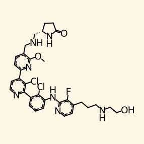 COc1nc(-c2ccnc(-c3cccc(Nc4nccc(CCCNCCO)c4F)c3Cl)c2Cl)ccc1CNC[C@@H]1CCC(=O)N1